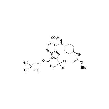 CCC(C)(O)c1cc2c(N[C@H]3CC[C@H](NC(=O)OC(C)(C)C)CC3)c(C(=O)O)cnc2n1COCC[Si](C)(C)C